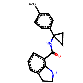 CC(=O)Oc1ccc(C2(NC(=O)c3cccc4c3NCC4)CC2)cc1